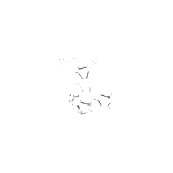 COc1ccc(CNc2n[nH]c3ncnc(Nc4cccc(Cl)c4)c23)cc1OC